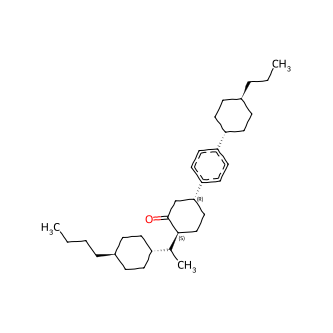 CCCC[C@H]1CC[C@H](C(C)[C@@H]2CC[C@@H](c3ccc([C@H]4CC[C@H](CCC)CC4)cc3)CC2=O)CC1